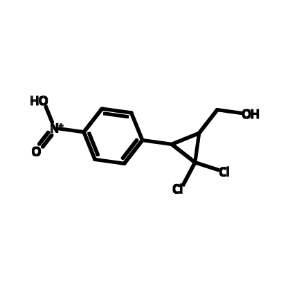 O=[N+](O)c1ccc(C2C(CO)C2(Cl)Cl)cc1